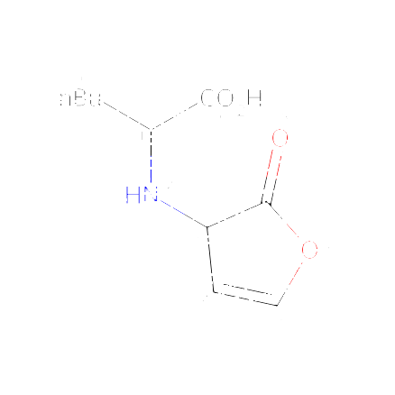 CCCCC(NC1C=COC1=O)C(=O)O